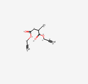 C#CCOC(=O)CC(CC)C(=O)OCC#C